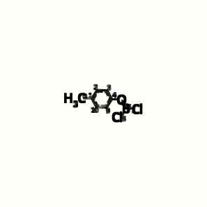 Cc1ccc(OB(Cl)Cl)cc1